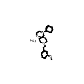 COc1cccc(CCN2CCC3(CC2)CN(c2ccccc2)CCO3)c1.Cl